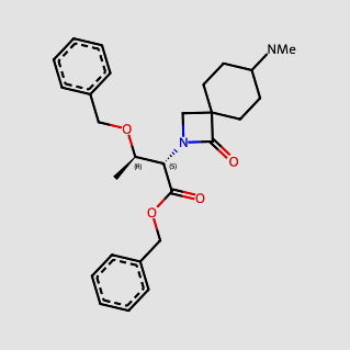 CNC1CCC2(CC1)CN([C@H](C(=O)OCc1ccccc1)[C@@H](C)OCc1ccccc1)C2=O